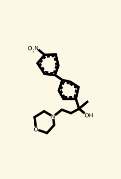 CC(O)(CCN1CCOCC1)c1ccc(-c2ccc([N+](=O)[O-])cc2)cc1